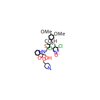 COc1ccc([C@H](Cc2c(Cl)c[n+]([O-])cc2Cl)c2cc(CNC(CO)(C(=O)OCC3CCN(C)CC3)c3ccccc3)sc2C(=O)O)cc1OC